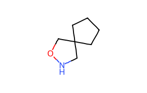 C1CCC2(C1)CNOC2